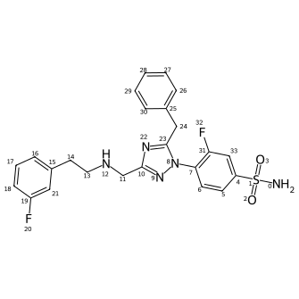 NS(=O)(=O)c1ccc(-n2nc(CNCCc3cccc(F)c3)nc2Cc2ccccc2)c(F)c1